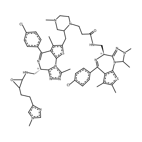 Cc1sc2c(c1C)C(c1ccc(Cl)cc1)=N[C@@H](CNC(=O)CCN1CCN(C)CC1Cc1sc3c(c1C)C(c1ccc(Cl)cc1)=N[C@@H](CNC1OC1CCc1cn(C)cn1)c1nnc(C)n1-3)C1=NN(C)C(C)N12